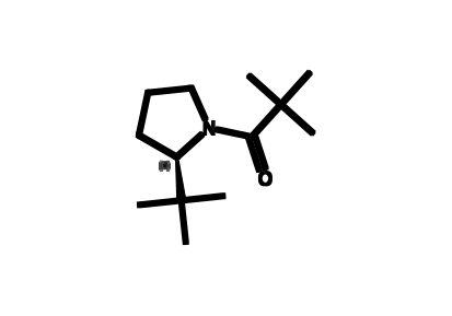 CC(C)(C)C(=O)N1CCC[C@@H]1C(C)(C)C